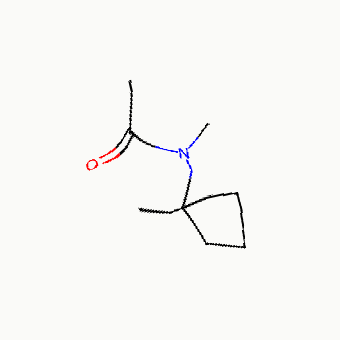 CC(=O)N(C)C1(C)CCC1